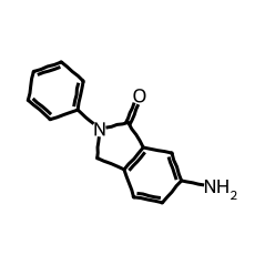 Nc1ccc2c(c1)C(=O)N(c1ccccc1)C2